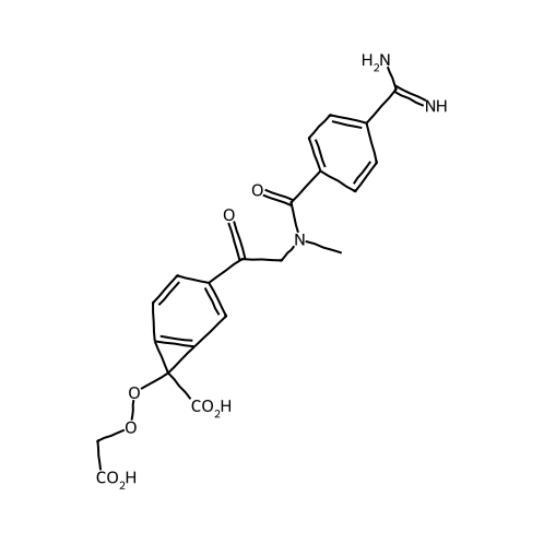 CN(CC(=O)c1ccc2c(c1)C2(OOCC(=O)O)C(=O)O)C(=O)c1ccc(C(=N)N)cc1